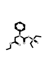 CCOC(=O)CN(C(=O)SP(=S)(CC)CC)c1ccccc1